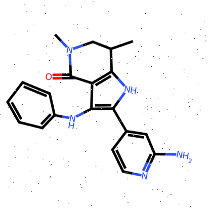 CC1CN(C)C(=O)c2c1[nH]c(-c1ccnc(N)c1)c2Nc1ccccc1